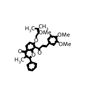 COc1cc(C=CC(=O)c2c(OCC=C(C)C)ccc3c(=O)c(C)c(-c4ccccc4)oc23)cc(OC)c1OC